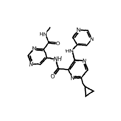 CNC(=O)c1ncncc1NC(=O)c1nc(C2CC2)cnc1Nc1cncnc1